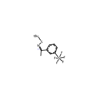 C/C(=N/SC(C)(C)C)c1cccc(S(F)(F)(F)(F)F)c1